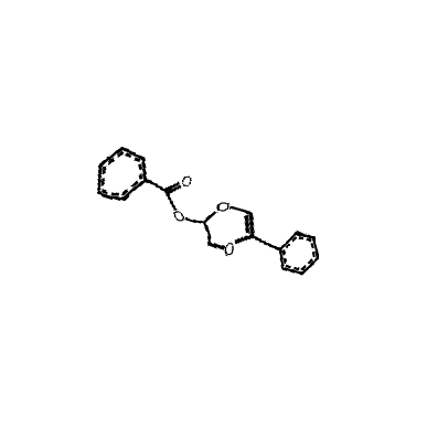 O=C(OC1COC(c2ccccc2)=CO1)c1ccccc1